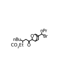 [CH2]CCCC(CC(=O)[C]1OC2CCC1CC2C(Br)CCC)C(=O)OCC